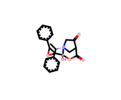 CC(c1ccccc1)[N@+]12CC(=O)C(C1)C(=O)O[B-]2(O)C1OC1c1ccccc1